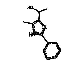 Cc1[nH]c(-c2ccccc2)nc1C(C)O